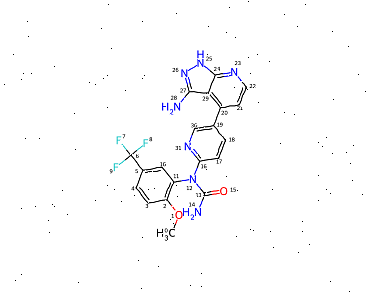 COc1ccc(C(F)(F)F)cc1N(C(N)=O)c1ccc(-c2ccnc3[nH]nc(N)c23)cn1